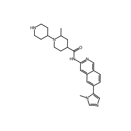 CC1CC(C(=O)Nc2cc3cc(-c4cncn4C)ccc3cn2)CCN1C1CCNCC1